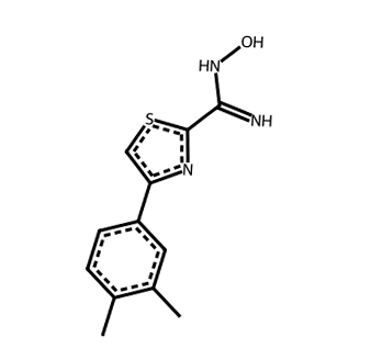 Cc1ccc(-c2csc(C(=N)NO)n2)cc1C